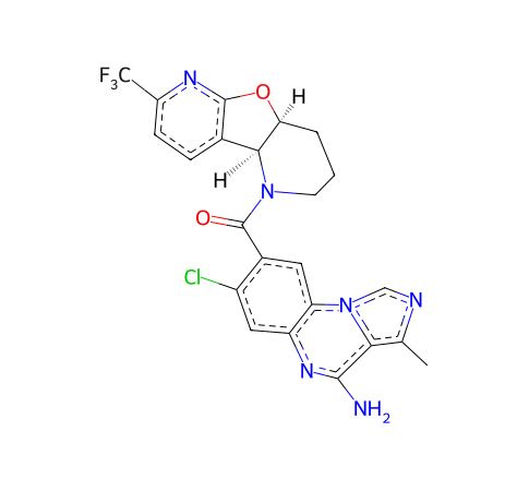 Cc1ncn2c1c(N)nc1cc(Cl)c(C(=O)N3CCC[C@@H]4Oc5nc(C(F)(F)F)ccc5[C@@H]43)cc12